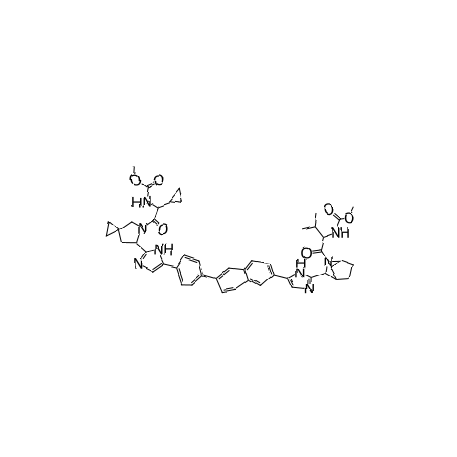 COC(=O)NC(C(=O)N1C2CCC(C2)C1c1ncc(-c2ccc3cc(-c4ccc(-c5cnc(C6CC7(CC7)CN6C(=O)C(NC(=O)OC)C6CC6)[nH]5)cc4)ccc3c2)[nH]1)C(C)C